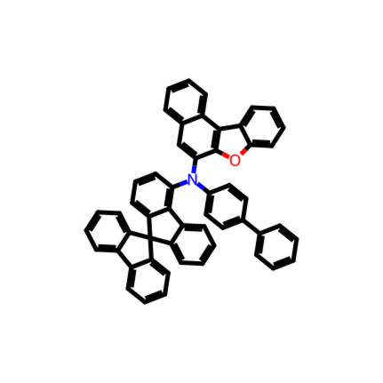 c1ccc(-c2ccc(N(c3cccc4c3-c3ccccc3C43c4ccccc4-c4ccccc43)c3cc4ccccc4c4c3oc3ccccc34)cc2)cc1